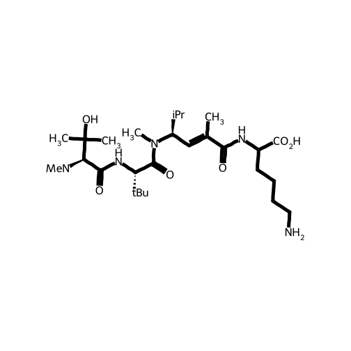 CN[C@H](C(=O)N[C@H](C(=O)N(C)[C@H](/C=C(\C)C(=O)NC(CCCCN)C(=O)O)C(C)C)C(C)(C)C)C(C)(C)O